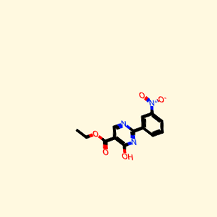 CCOC(=O)c1cnc(-c2cccc([N+](=O)[O-])c2)nc1O